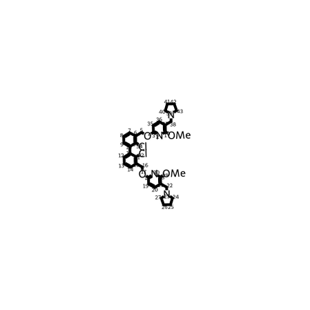 COc1nc(OCc2cccc(-c3cccc(COc4ccc(CN5CCCC5)c(OC)n4)c3Cl)c2Cl)ccc1CN1CCCC1